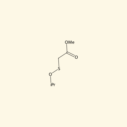 COC(=O)CSOC(C)C